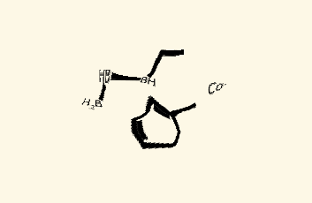 BBBCC.CC1=CC=CC1.[Co]